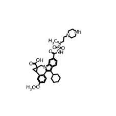 COc1ccc2c(c1)C1CC1(C(=O)O)Cn1c-2c(C2CCCCC2)c2ccc(C(=O)NS(=O)(=O)N(C)CCN3CCNCC3)cc21